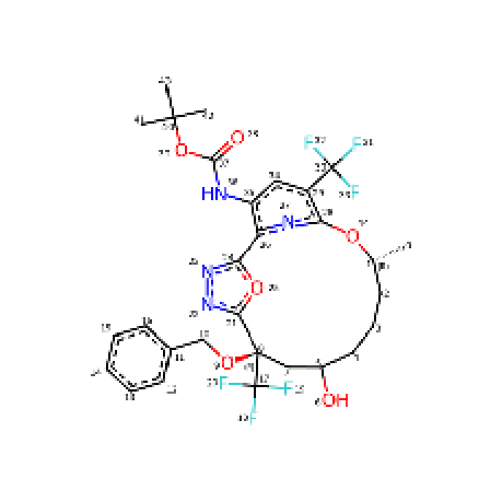 C[C@@H]1CCCC(O)C[C@](OCc2ccccc2)(C(F)(F)F)c2nnc(o2)-c2nc(c(C(F)(F)F)cc2NC(=O)OC(C)(C)C)O1